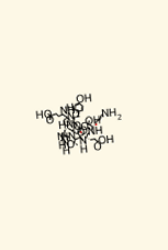 C[C@@H](O)[C@H](NC(=O)[C@H](Cc1c[nH]cn1)NC(=O)[C@H](Cc1ccc(O)cc1)NC(=O)[C@@H](N)CCC(=O)O)C(=O)N[C@@H](CCC(=O)O)C(=O)N[C@@H](CCCCN)C(=O)O